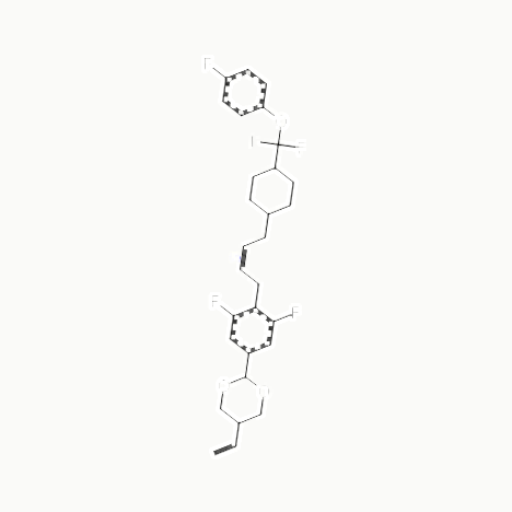 C=CC1COC(c2cc(F)c(C/C=C\CC3CCC(C(F)(F)Oc4ccc(F)cc4)CC3)c(F)c2)OC1